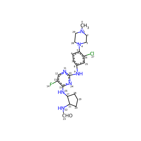 CN1CCN(c2ccc(Nc3ncc(F)c(NC4CCCC4NC=O)n3)cc2Cl)CC1